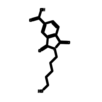 O=C(O)c1ccc2c(c1)C(=O)N(CCCCCO)C2=O